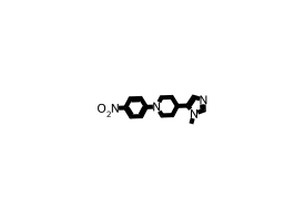 Cn1cncc1C1CCN(c2ccc([N+](=O)[O-])cc2)CC1